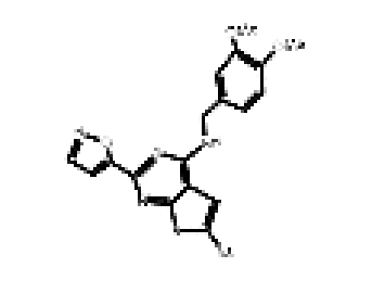 CCc1cc2c(NCc3ccc(OC)c(OC)c3)nc(-c3ccno3)nc2s1